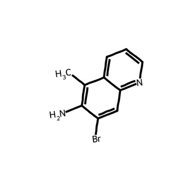 Cc1c(N)c(Br)cc2ncccc12